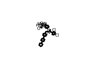 COc1ccc(-n2cc(-c3ccc(Cl)cc3Cl)nc2Cc2ccc(-c3ccc(C4CCCCC4)cc3)cc2)cc1N1CC(=O)NS1(=O)=O